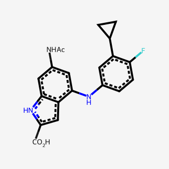 CC(=O)Nc1cc(Nc2ccc(F)c(C3CC3)c2)c2cc(C(=O)O)[nH]c2c1